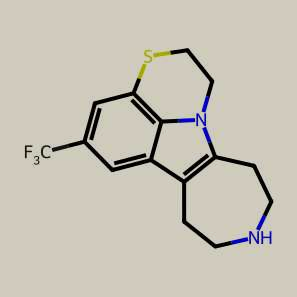 FC(F)(F)c1cc2c3c(c1)c1c(n3CCS2)CCNCC1